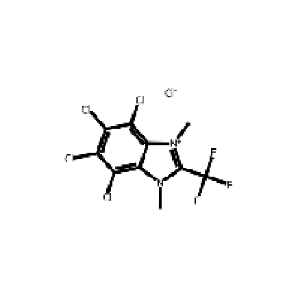 Cn1c(C(F)(F)F)[n+](C)c2c(Cl)c(Cl)c(Cl)c(Cl)c21.[Cl-]